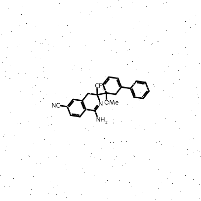 COC1(C2(C(F)(F)F)Cc3cc(C#N)ccc3C(N)=N2)C=CC=C(c2ccccc2)C1